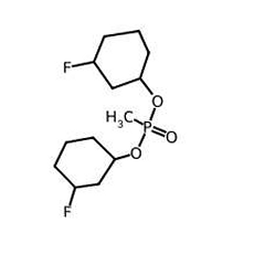 CP(=O)(OC1CCCC(F)C1)OC1CCCC(F)C1